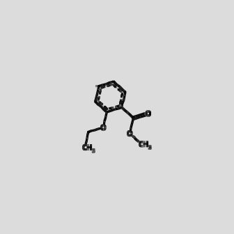 CCOc1c[c]ccc1C(=O)OC